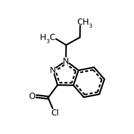 CCC(C)n1nc(C(=O)Cl)c2ccccc21